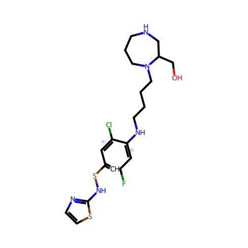 C=C(/C=C(Cl)\C(=C/CF)NCCCCN1CCCNCC1CO)SNc1nccs1